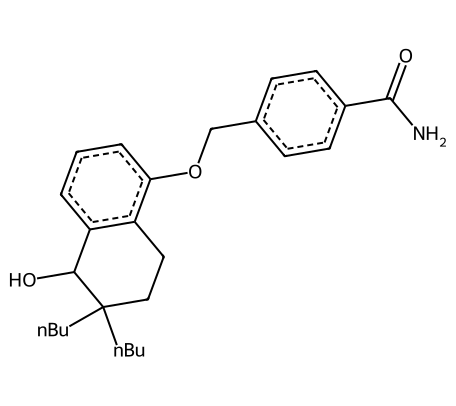 CCCCC1(CCCC)CCc2c(OCc3ccc(C(N)=O)cc3)cccc2C1O